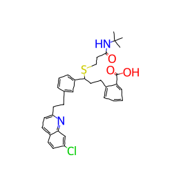 CC(C)(C)NC(=O)CCSC(CCc1ccccc1C(=O)O)c1cccc(CCc2ccc3ccc(Cl)cc3n2)c1